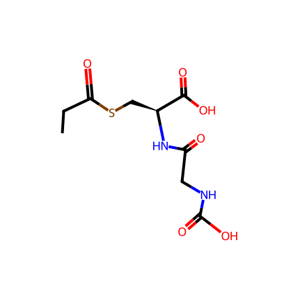 CCC(=O)SC[C@H](NC(=O)CNC(=O)O)C(=O)O